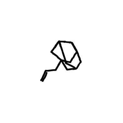 C=CCC12CC3CC(CC(C3)C1)C2